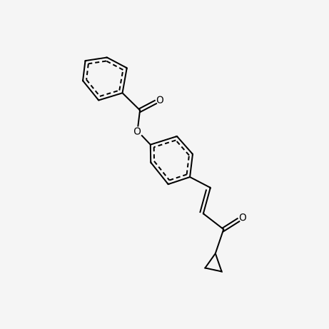 O=C(Oc1ccc(C=CC(=O)C2CC2)cc1)c1ccccc1